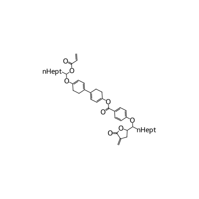 C=CC(=O)OC(CCCCCCC)OC1=CC=C(C2=CC=C(OC(=O)c3ccc(OC(CCCCCCC)C4CC(=C)C(=O)O4)cc3)CC2)CC1